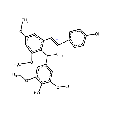 COc1cc(/C=C/c2ccc(O)cc2)c(C(C)c2cc(OC)c(O)c(OC)c2)c(OC)c1